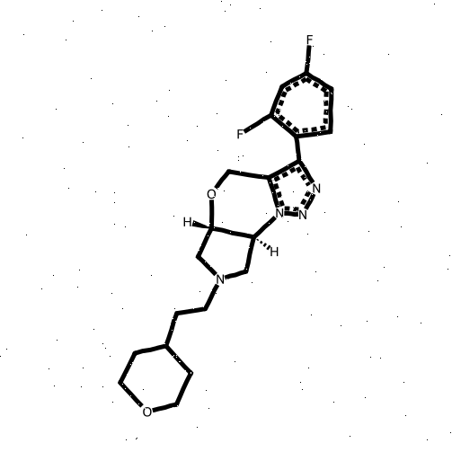 Fc1ccc(-c2nnn3c2CO[C@H]2CN(CCC4CCOCC4)C[C@@H]23)c(F)c1